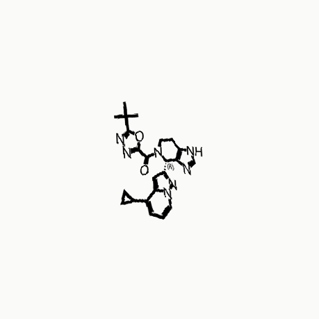 CC(C)(C)c1nnc(C(=O)N2CCc3[nH]cnc3[C@@H]2c2cc3c(C4CC4)cccn3n2)o1